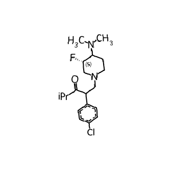 CC(C)C(=O)C(CN1CCC(N(C)C)[C@@H](F)C1)c1ccc(Cl)cc1